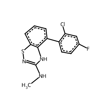 CNC1=NSc2cccc(-c3ccc(F)cc3Cl)c2N1